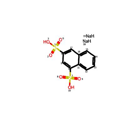 O=S(=O)(O)c1cc(S(=O)(=O)O)c2ccccc2c1.[NaH].[NaH]